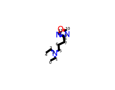 CCN(CC)CCCc1ncon1